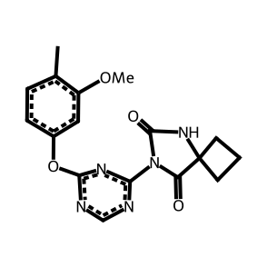 COc1cc(Oc2ncnc(N3C(=O)NC4(CCC4)C3=O)n2)ccc1C